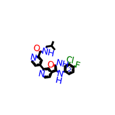 CC(C)CNC(=O)c1cc(-c2nccc3c(Nc4ccc(F)c(Cl)c4)c(N)oc23)ccn1